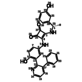 C[C@H](Nc1c(Nc2ccc(O)c(-c3ncccc3-c3ccccc3)c2)c(=O)c1=O)c1cccc(O)c1